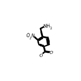 NCc1ccc(C([O])=O)cc1[N+](=O)[O-]